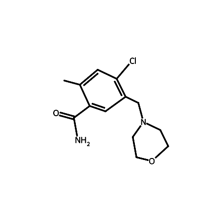 Cc1cc(Cl)c(CN2CCOCC2)cc1C(N)=O